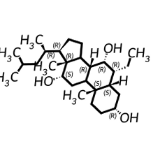 CC[C@H]1[C@@H](O)[C@H]2C3CC[C@H]([C@H](C)CC(C)C)[C@@]3(C)[C@@H](O)CC2[C@@]2(C)CC[C@@H](O)C[C@@H]12